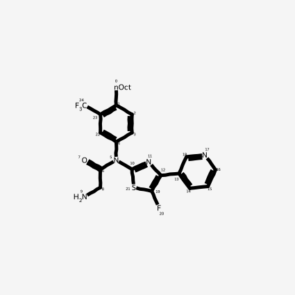 CCCCCCCCc1ccc(N(C(=O)CN)c2nc(-c3cccnc3)c(F)s2)cc1C(F)(F)F